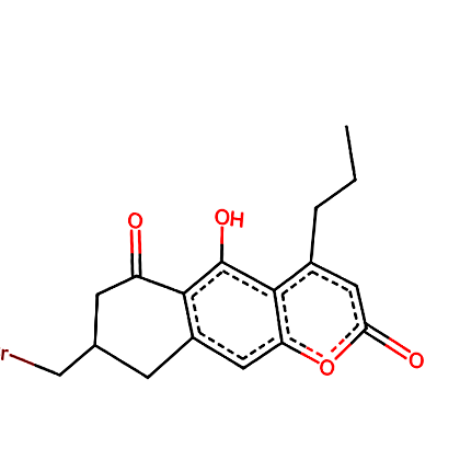 CCCc1cc(=O)oc2cc3c(c(O)c12)C(=O)CC(CBr)C3